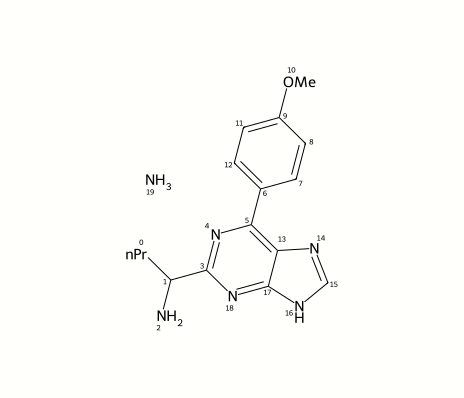 CCCC(N)c1nc(-c2ccc(OC)cc2)c2nc[nH]c2n1.N